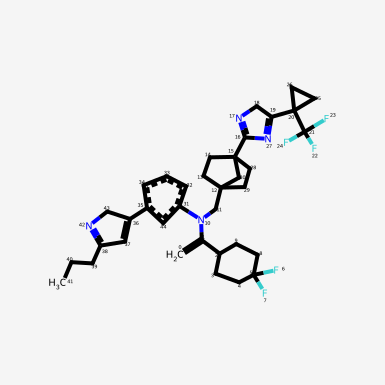 C=C(C1CCC(F)(F)CC1)N(CC12CCC(C3=NCC(C4(C(F)(F)F)CC4)=N3)(CC1)C2)c1cccc(C2=CC(CCC)=NC2)c1